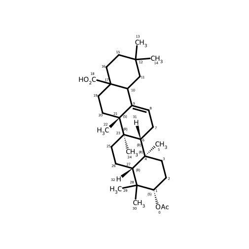 CC(=O)O[C@H]1CC[C@]2(C)[C@H]3CC=C4C5CC(C)(C)CCC5(C(=O)O)CC[C@@]4(C)[C@]3(C)CC[C@H]2C1(C)C